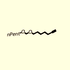 C#CCCCCCOCOCCCCC